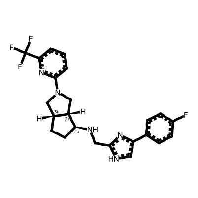 Fc1ccc(-c2c[nH]c(CN[C@H]3CC[C@@H]4CN(c5cccc(C(F)(F)F)n5)C[C@@H]43)n2)cc1